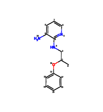 CC(CNc1ncccc1N)Oc1ccccc1